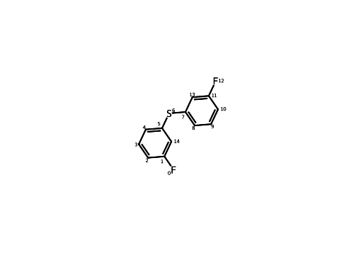 Fc1cccc(Sc2cccc(F)c2)c1